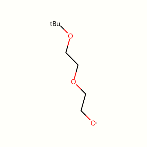 CC(C)(C)OCCOCC[O]